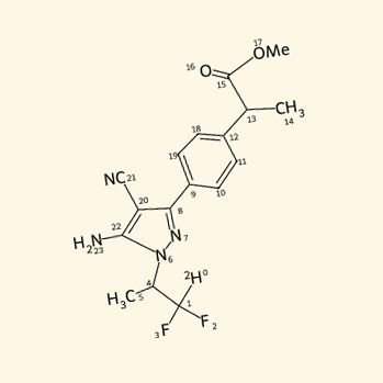 [2H]C(F)(F)C(C)n1nc(-c2ccc(C(C)C(=O)OC)cc2)c(C#N)c1N